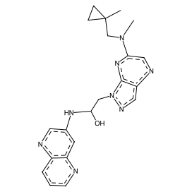 CN(CC1(C)CC1)c1cnc2cnn(CC(O)Nc3cnc4cccnc4c3)c2n1